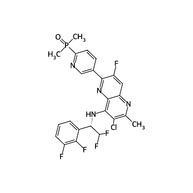 Cc1nc2cc(F)c(-c3ccc(P(C)(C)=O)nc3)nc2c(N[C@@H](c2cccc(F)c2F)C(F)F)c1Cl